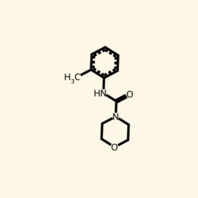 Cc1ccccc1NC(=O)N1CCOCC1